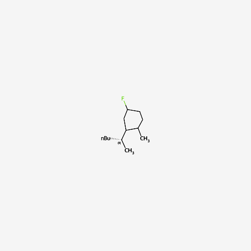 CCCC[C@@H](C)C1CC(F)CCC1C